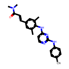 Cc1cc(/C=C/C(=O)N(C)C)cc(C)c1Nc1ccnc(Nc2ccc(C#N)cc2)n1